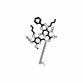 BB=BB=BB=BOCC1O[C@H](OC)C(N=[N+]=[N-])[C@@H](OCCCC)[C@@H]1O[C@@H]1OC(C(=O)O)[C@@H](N=O)C(OCCCC)[C@@H]1OC(=O)c1ccccc1